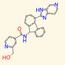 O=C(NC1c2ccccc2-c2c(-c3nc4ccncc4[nH]3)cccc21)c1ccnc(CO)c1